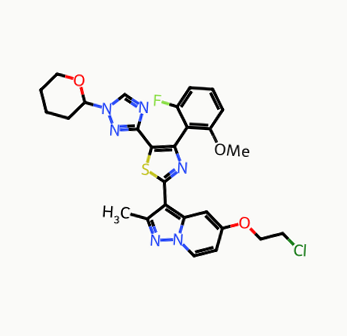 COc1cccc(F)c1-c1nc(-c2c(C)nn3ccc(OCCCl)cc23)sc1-c1ncn(C2CCCCO2)n1